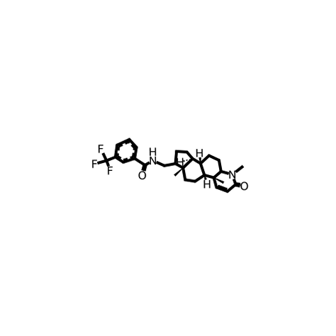 CN1C(=O)C=C[C@@]2(C)C1CC[C@@H]1[C@H]2CC[C@]2(C)C(CNC(=O)c3cccc(C(F)(F)F)c3)CC[C@@H]12